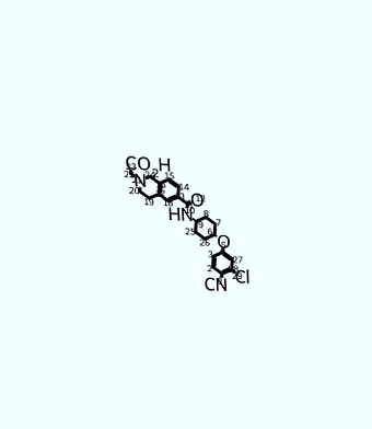 N#Cc1ccc(O[C@H]2CC[C@H](NC(=O)c3ccc4c(c3)CCN(CC(=O)O)C4)CC2)cc1Cl